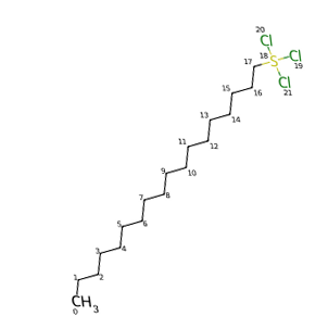 CCCCCCCCCCCCCCCCCCS(Cl)(Cl)Cl